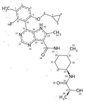 Cc1ccc(OCC2CC2)c(-c2ncnc3c(C(=O)N[C@H]4CC[C@H](NC(=O)[C@H](C)O)C[C@H]4C)c(C)[nH]c23)c1F